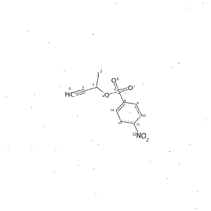 C#CC(I)OS(=O)(=O)c1ccc([N+](=O)[O-])cc1